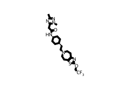 Cc1nc(CC(=O)N[C@H]2CC[C@H](CCN3CCc4nc(OCC(F)(F)F)sc4CC3)CC2)n(C)n1